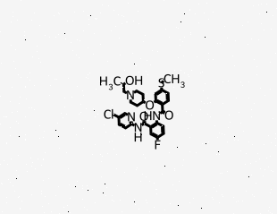 CSc1ccc(C(=O)Nc2ccc(F)cc2C(=O)Nc2ccc(Cl)cn2)c(OC2CCN(C[C@H](C)O)CC2)c1